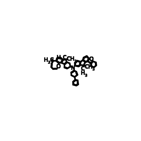 C=C1/C=C\C=C/Oc2c1ccc1c2C2=C(CC(N(C3=CCC(c4ccccc4)C=C3)c3ccc4c(c3)C(C)(C)c3c-4ccc4oc5c(c34)CCC=C5)C=C2)C1(C)C